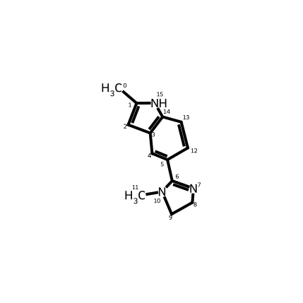 Cc1cc2cc(C3=NCCN3C)ccc2[nH]1